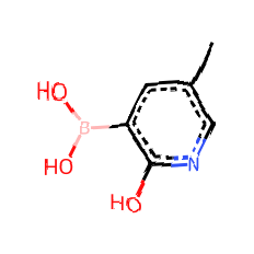 Cc1cnc(O)c(B(O)O)c1